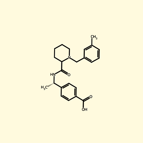 Cc1cccc(CN2CCCCC2C(=O)N[C@@H](C)c2ccc(C(=O)O)cc2)c1